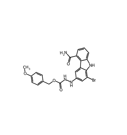 COc1ccc(COC(=O)NNc2cc(Br)c3[nH]c4cccc(C(N)=O)c4c3c2)cc1